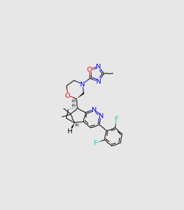 Cc1noc(N2CCO[C@H]([C@@]34CC[C@@H](c5cc(-c6c(F)cccc6F)nnc53)C4(C)C)C2)n1